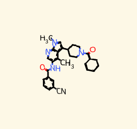 Cc1c(NC(=O)c2cccc(C#N)c2)cnc2c1c(C1CCN(C(=O)C3CCCCC3)CC1)cn2C